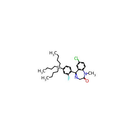 CCC[CH2][Sn]([CH2]CCC)([CH2]CCC)[c]1ccc(C2=NCC(=O)N(C)c3ccc(Cl)cc32)c(F)c1